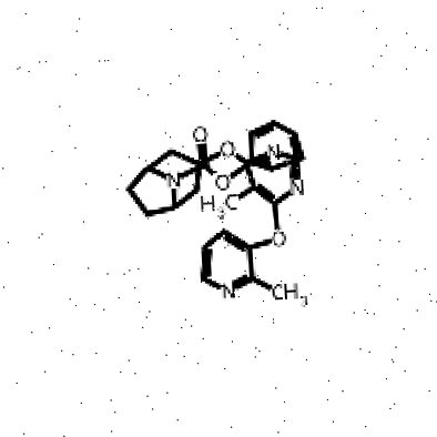 Cc1ncccc1Oc1ncnc(OC2CC3CCC(C2)N3C(=O)Oc2ccccc2)c1C